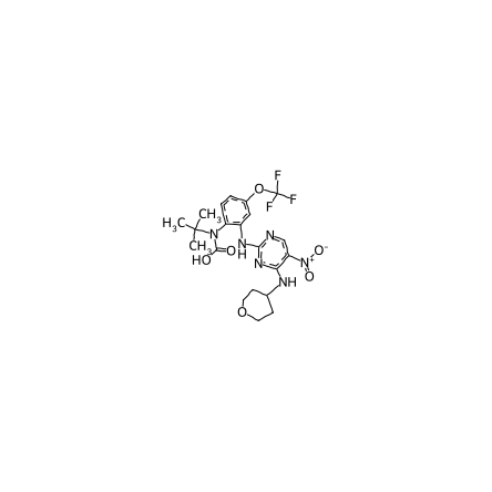 CC(C)(C)N(C(=O)O)c1ccc(OC(F)(F)F)cc1Nc1ncc([N+](=O)[O-])c(NC2CCOCC2)n1